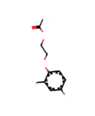 CCC(C)C(=O)OCCOc1ccc(Br)cc1[N+](=O)[O-]